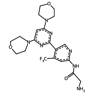 NCC(=O)Nc1cc(C(F)(F)F)c(-c2nc(N3CCOCC3)cc(N3CCOCC3)n2)cn1